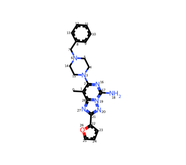 Cc1c(N2CCN(Cc3ccccc3)CC2)nc(N)n2nc(-c3ccco3)nc12